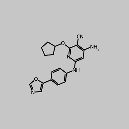 N#Cc1c(N)cc(Nc2ccc(-c3cnco3)cc2)nc1OC1CCCC1